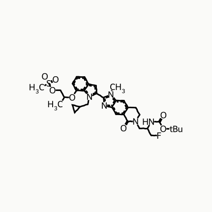 CC(COS(C)(=O)=O)Oc1cccc2cc(-c3nc4cc5c(cc4n3C)CCN(CC(CF)NC(=O)OC(C)(C)C)C5=O)n(CC3CC3)c12